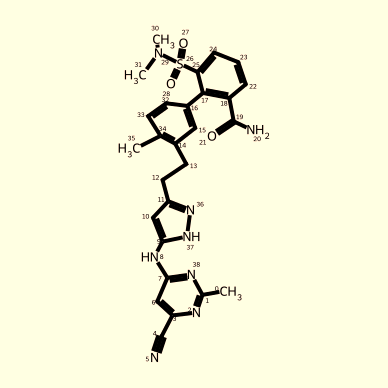 Cc1nc(C#N)cc(Nc2cc(CCc3cc(-c4c(C(N)=O)cccc4S(=O)(=O)N(C)C)ccc3C)n[nH]2)n1